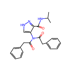 CC(C)NC(=O)c1n[nH]cc1N(C(=O)Cc1ccccc1)C(=O)Cc1ccccc1